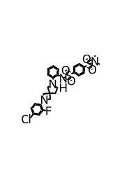 CN(C)S(=O)(=O)c1ccc(S(=O)(=O)Nc2ccccc2N2CCC3(CN(c4ccc(Cl)cc4F)C3)C2)cc1